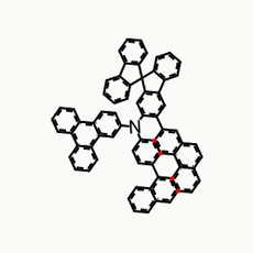 c1ccc2c(c1)-c1ccccc1C21c2ccccc2-c2cc(-c3ccc4c(ccc5ccccc54)c3)c(N(c3ccc(-c4cccc5ccccc45)cc3)c3ccc4c5ccccc5c5ccccc5c4c3)cc21